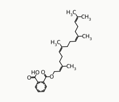 CC(C)=CCCC(C)=CCCC(C)=CCCC(C)=CCOC(=O)c1ccccc1C(=O)O